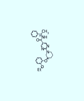 CCOc1ccccc1O[C@@H]1CCCN(c2ncc(C(=O)N[C@H](C)c3ccccc3)cn2)C1